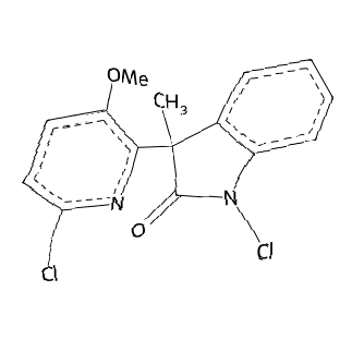 COc1ccc(Cl)nc1C1(C)C(=O)N(Cl)c2ccccc21